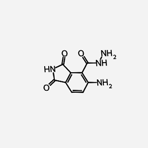 NNC(=O)c1c(N)ccc2c1C(=O)NC2=O